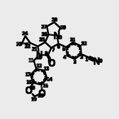 N#Cc1ccc(C2C3C(=O)N(Cc4ccc5c(c4)OCO5)C(C4CC4)C3C3CCCN32)cc1